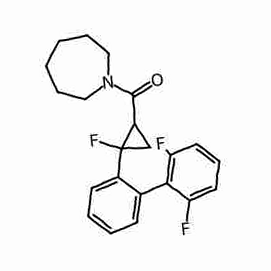 O=C(C1CC1(F)c1ccccc1-c1c(F)cccc1F)N1CCCCCC1